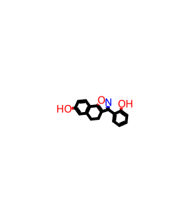 Oc1ccc2c(c1)CCc1c(-c3ccccc3O)noc1-2